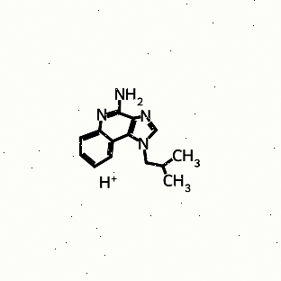 CC(C)Cn1cnc2c(N)nc3ccccc3c21.[H+]